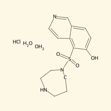 Cl.O.O.O=S(=O)(c1c(O)ccc2cnccc12)N1CCCNCC1